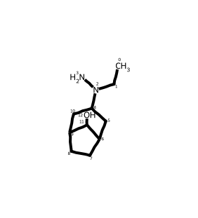 CCN(N)C1CC2CCC(C1)C2O